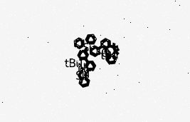 CC(C)(C)c1ccc([Si](c2ccccc2)(c2ccccc2)c2ccc(C(C)(C)C)c(-c3cccc4c3nc3sc5ccccc5n34)c2)cc1-c1cccc2c1Oc1ccccc1C(C)(C)C2(C)C